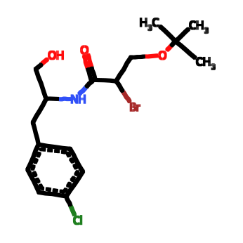 CC(C)(C)OCC(Br)C(=O)NC(CO)Cc1ccc(Cl)cc1